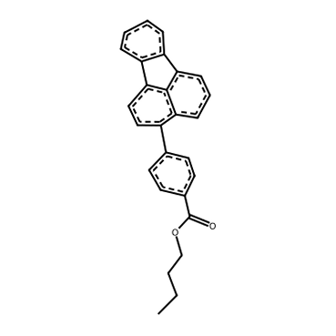 CCCCOC(=O)c1ccc(-c2ccc3c4c(cccc24)-c2ccccc2-3)cc1